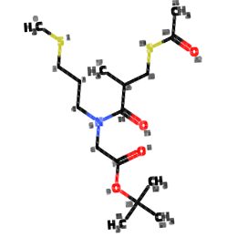 CSCCCN(CC(=O)OC(C)(C)C)C(=O)C(C)CSC(C)=O